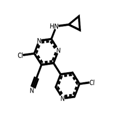 N#Cc1c(Cl)nc(NC2CC2)nc1-c1cncc(Cl)c1